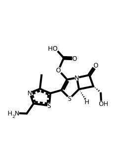 Cc1nc(CN)sc1C1=C(OC(=O)O)N2C(=O)[C@H](CO)[C@H]2S1